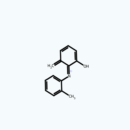 C=C1C=CC=C(O)/C1=N/c1ccccc1C